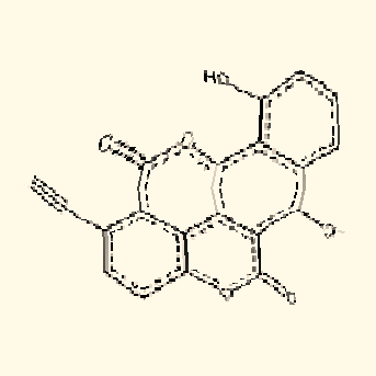 C#Cc1ccc2oc(=O)c3c(O)c4cccc(O)c4c4oc(=O)c1c2c34